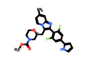 COC(=O)N1CCO[C@@H](Cc2c(-c3c(F)cc(-c4ccc[nH]4)cc3F)nc3cc(C)ccn23)C1